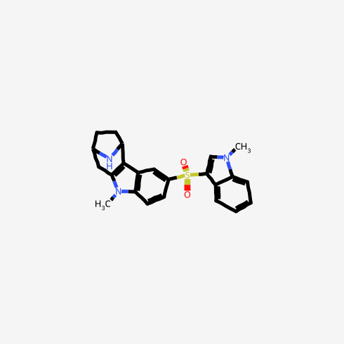 Cn1cc(S(=O)(=O)c2ccc3c(c2)c2c(n3C)CC3CCC2N3)c2ccccc21